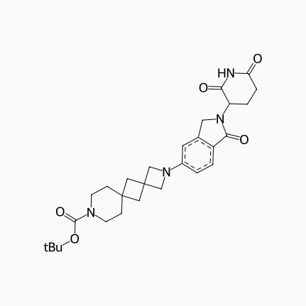 CC(C)(C)OC(=O)N1CCC2(CC1)CC1(CN(c3ccc4c(c3)CN(C3CCC(=O)NC3=O)C4=O)C1)C2